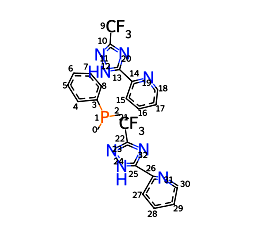 CP(C)c1ccccc1.FC(F)(F)c1n[nH]c(-c2ccccn2)n1.FC(F)(F)c1n[nH]c(-c2ccccn2)n1